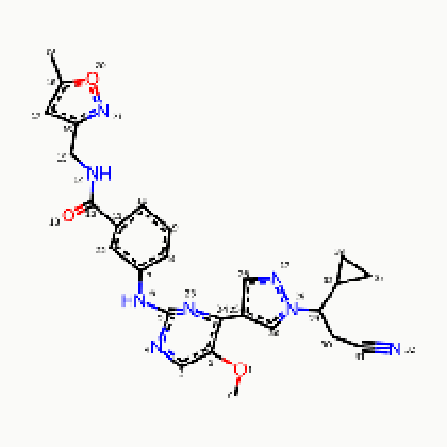 COc1cnc(Nc2cccc(C(=O)NCc3cc(C)on3)c2)nc1-c1cnn(C(CC#N)C2CC2)c1